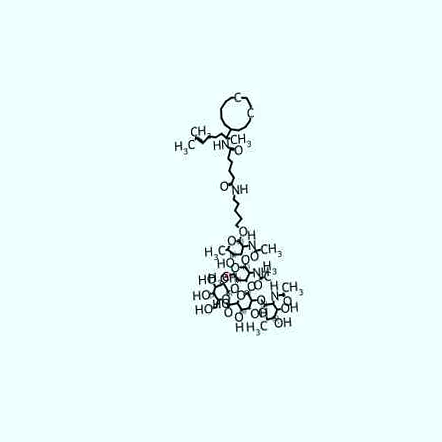 CC(=O)NC1C(O)[C@H](O)C(C)O[C@H]1OC1C(O)[C@H](O)C(C(=O)O)O[C@H]1OC1C(NC(C)=O)[C@H](OC2C(NC(C)=O)[C@H](OCCCCCNC(=O)CCCCC(=O)NC(C)(CCCC=C(C)C)C3CCCCCCCCCCCC3)OC(C)[C@H]2O)OC(C)[C@H]1O[C@@H]1OC(CO)[C@@H](O)C(O)C1O